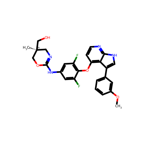 COc1cccc(-c2c[nH]c3nccc(Oc4c(F)cc(NC5=NC[C@](C)(CO)CO5)cc4F)c23)c1